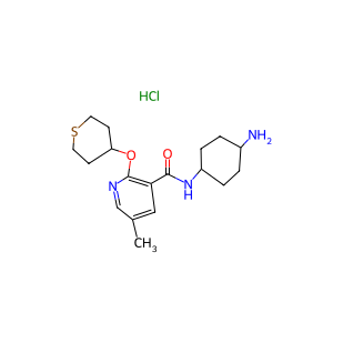 Cc1cnc(OC2CCSCC2)c(C(=O)NC2CCC(N)CC2)c1.Cl